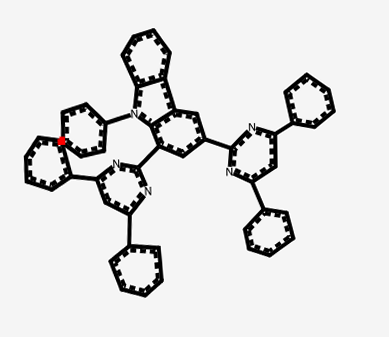 c1ccc(-c2cc(-c3ccccc3)nc(-c3cc(-c4nc(-c5ccccc5)cc(-c5ccccc5)n4)c4c(c3)c3ccccc3n4-c3ccccc3)n2)cc1